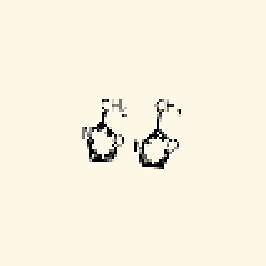 Cc1ncco1.Cc1ncco1